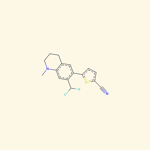 CN1CCCc2cc(-c3ccc(C#N)s3)c(C(F)F)cc21